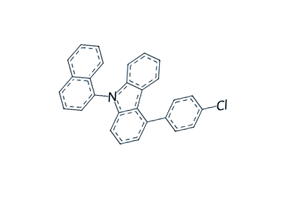 Clc1ccc(-c2cccc3c2c2ccccc2n3-c2cccc3ccccc23)cc1